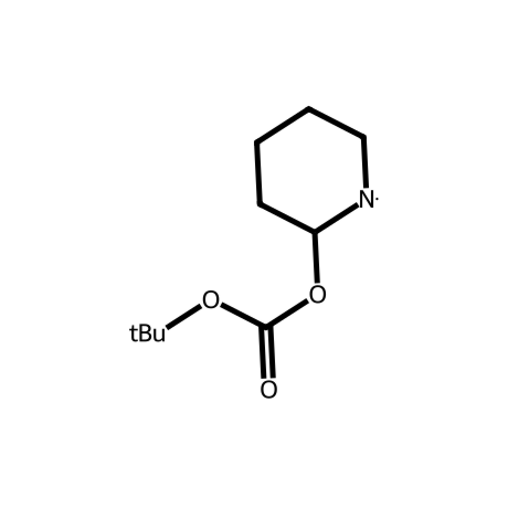 CC(C)(C)OC(=O)OC1CCCC[N]1